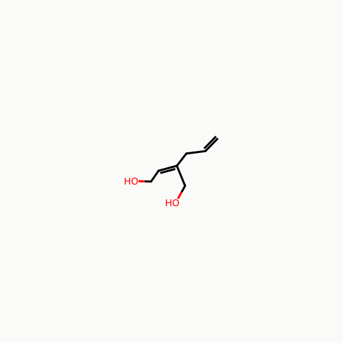 C=CCC(=CCO)CO